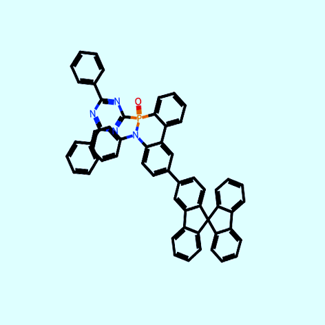 O=P1(c2nc(-c3ccccc3)nc(-c3ccccc3)n2)c2ccccc2-c2cc(-c3ccc4c(c3)-c3ccccc3C43c4ccccc4-c4ccccc43)ccc2N1c1ccccc1